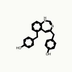 Oc1ccc(CC2=Cc3c(Cc4ccc(O)cc4)cccc3NC=N2)cc1